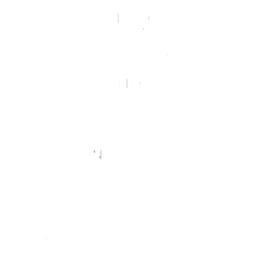 CC=C(Oc1ccccc1C(O)CCC=NOCc1ccccc1)C(=O)O